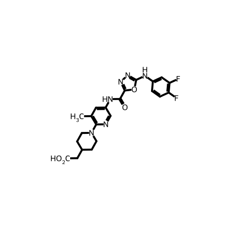 Cc1cc(NC(=O)c2nnc(Nc3ccc(F)c(F)c3)o2)cnc1N1CCC(CC(=O)O)CC1